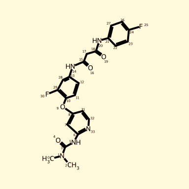 CN(C)C(=O)Nc1cc(Oc2ccc(NC(=O)CC(=O)Nc3ccc(F)cc3)cc2F)ccn1